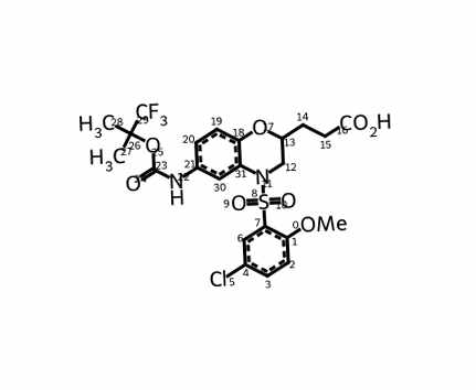 COc1ccc(Cl)cc1S(=O)(=O)N1CC(CCC(=O)O)Oc2ccc(NC(=O)OC(C)(C)C(F)(F)F)cc21